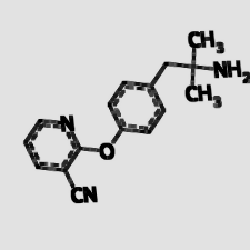 CC(C)(N)Cc1ccc(Oc2ncccc2C#N)cc1